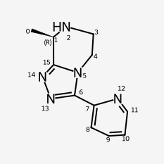 C[C@H]1NCCn2c(-c3ccccn3)nnc21